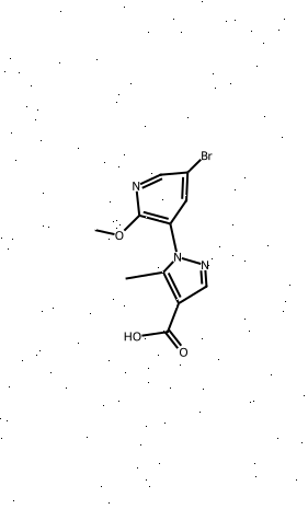 COc1ncc(Br)cc1-n1ncc(C(=O)O)c1C